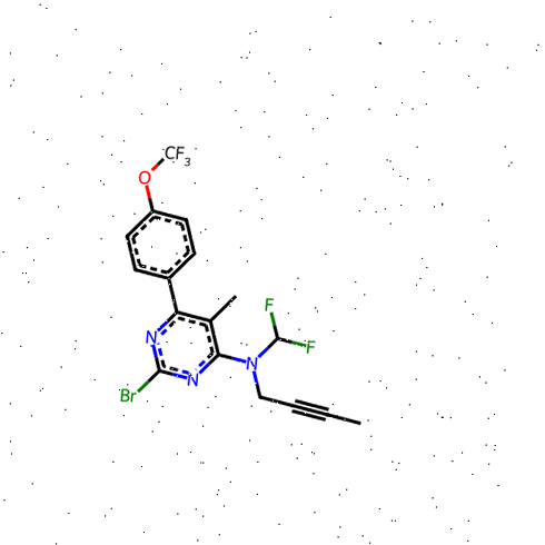 CC#CCN(c1nc(Br)nc(-c2ccc(OC(F)(F)F)cc2)c1C)C(F)F